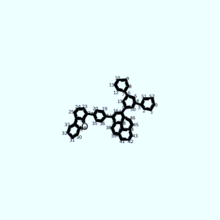 c1ccc(-c2cc(-c3ccccc3)cc(-c3cc(-c4ccc(-c5cccc6c5oc5ccccc56)cc4)c4ccc5cccc6ccc3c4c56)c2)cc1